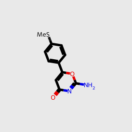 CSc1ccc(-c2cc(=O)nc(N)o2)cc1